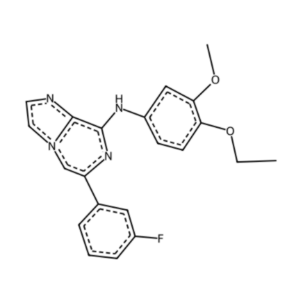 CCOc1ccc(Nc2nc(-c3cccc(F)c3)cn3ccnc23)cc1OC